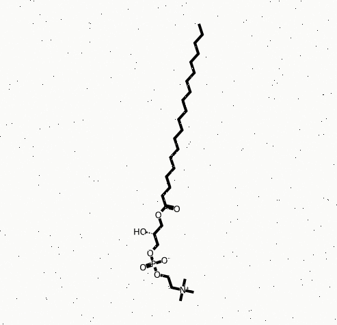 CCCCCCCCCCCCCCCCCCCC(=O)OC[C@@H](O)COP(=O)([O-])OCC[N+](C)(C)C